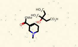 COC(=O)C1=CCCN(C)C1.O=C(O)CC(O)(CC(=O)O)C(=O)O